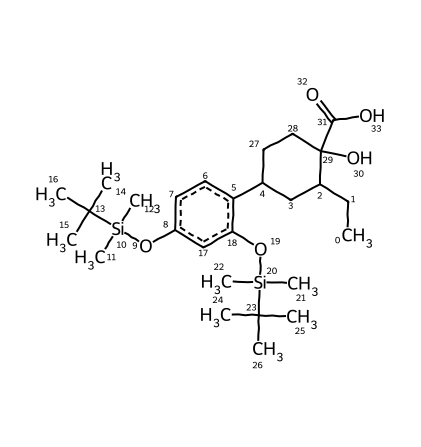 CCC1CC(c2ccc(O[Si](C)(C)C(C)(C)C)cc2O[Si](C)(C)C(C)(C)C)CCC1(O)C(=O)O